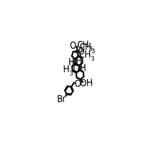 CO[C@]1(C(C)=O)CC[C@H]2[C@@H]3CC=C4CC(O)(OCc5ccc(Br)cc5)CC[C@]4(C)[C@H]3CC[C@@]21C